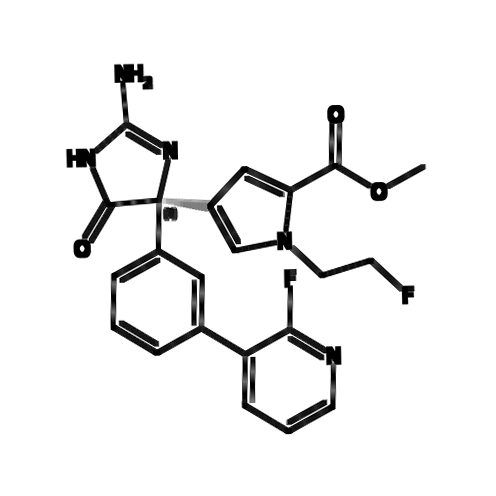 COC(=O)c1cc([C@@]2(c3cccc(-c4cccnc4F)c3)N=C(N)NC2=O)cn1CCF